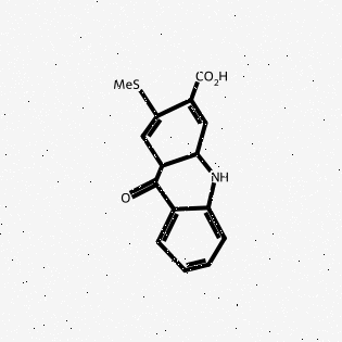 CSC1=CC2C(=O)c3ccccc3NC2C=C1C(=O)O